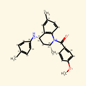 COc1ccc(C(=O)N2c3ccc(C)cc3[C@@H](Nc3ccc(C)cc3)C[C@H]2C)cc1